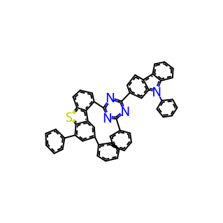 c1ccc(-c2cc(-c3ccccc3)c3sc4cccc(-c5nc(-c6ccccc6)nc(-c6ccc7c8ccccc8n(-c8ccccc8)c7c6)n5)c4c3c2)cc1